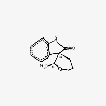 C[C@@H]1OCC[C@@]12C(=O)Nc1ccccc12